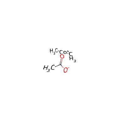 CC(=O)[O-].[CH3][Co+][CH3]